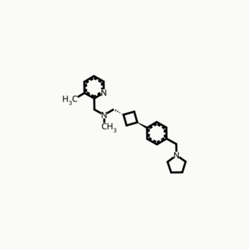 Cc1cccnc1CN(C)C[C@H]1C[C@H](c2ccc(CN3CCCC3)cc2)C1